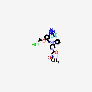 CC(=O)NCC(=O)N1CC[C@H](NCc2cc(-n3nnnc3C(F)(F)F)ccc2OC2CC2)[C@H](c2ccccc2)C1.Cl